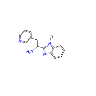 CCn1c(C(N)Cc2cccnc2)nc2ccccc21